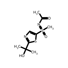 CC(=O)N=S(C)(=O)c1cnc(C(C)(C)O)s1